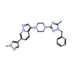 Cc1nc(N2CCN(c3cnn4cc(-c5cnn(C)c5)ccc34)CC2)nn1Cc1ccccc1